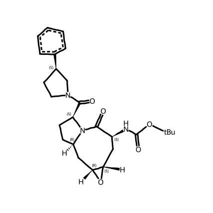 CC(C)(C)OC(=O)N[C@H]1C[C@@H]2O[C@@H]2C[C@H]2CC[C@@H](C(=O)N3CC[C@@H](c4ccccc4)C3)N2C1=O